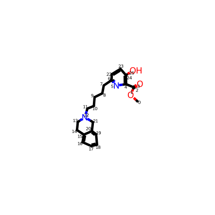 COC(=O)c1nc(CCCCCN2CCc3ccccc3C2)ccc1O